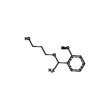 COc1ccccc1C(C)OCCCO